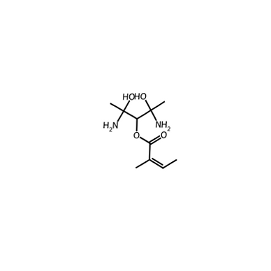 CC=C(C)C(=O)OC(C(C)(N)O)C(C)(N)O